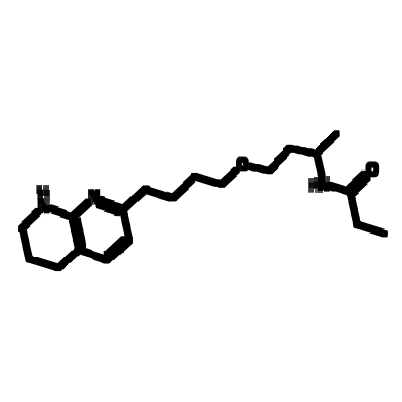 CCC(=O)NC(C)CCOCCCCc1ccc2c(n1)NCCC2